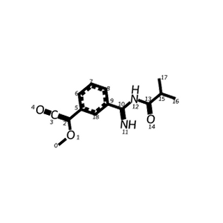 COC(=C=O)c1cccc(C(=N)NC(=O)C(C)C)c1